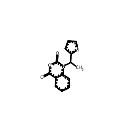 CC(c1cccs1)n1c(=O)oc(=O)c2ccccc21